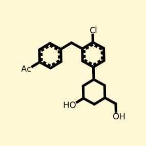 CC(=O)c1ccc(Cc2cc(C3CC(O)CC(CO)C3)ccc2Cl)cc1